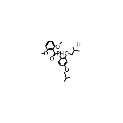 COc1cccc(OC)c1C(=O)Pc1ccc(OCC(C)C)cc1OCC(C)C.[Li]